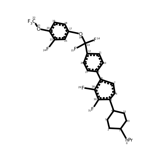 CCCC1CCC(c2ccc(-c3ccc(C(F)(F)Oc4ccc(OC(F)(F)F)c(F)c4)cc3)c(F)c2F)CC1